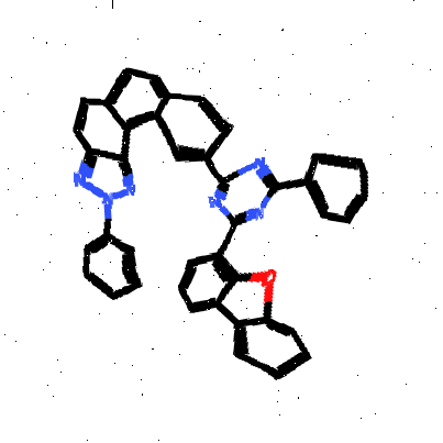 c1ccc(-c2nc(-c3ccc4ccc5ccc6nn(-c7ccccc7)nc6c5c4c3)nc(-c3cccc4c3oc3ccccc34)n2)cc1